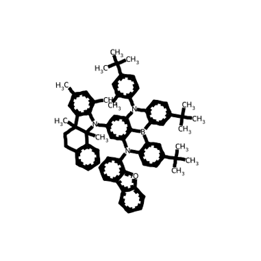 Cc1cc(C)c2c(c1)C1(C)CCc3ccccc3C1(C)N2c1cc2c3c(c1)N(c1cccc4c1oc1ccccc14)c1ccc(C(C)(C)C)cc1B3c1cc(C(C)(C)C)ccc1N2c1ccc(C(C)(C)C)cc1C